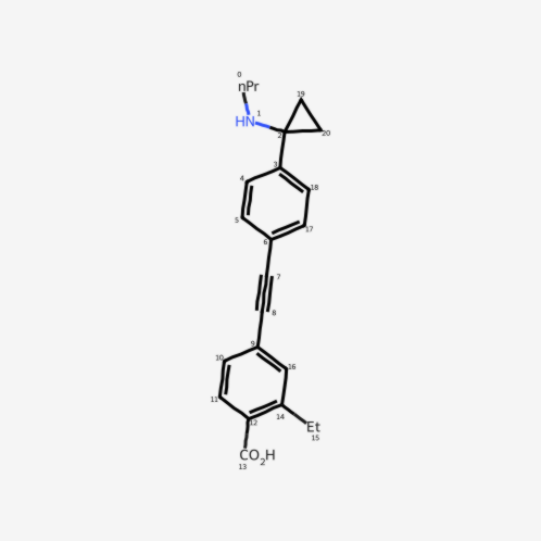 CCCNC1(c2ccc(C#Cc3ccc(C(=O)O)c(CC)c3)cc2)CC1